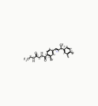 Cc1cc(C(/C=C/c2ccc(C(=O)NCC(=O)NCC(F)(F)F)c(Br)c2)C(F)(F)F)ccc1F